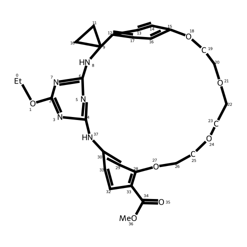 CCOc1nc2nc(n1)NC1(CC1)c1ccc(cc1)OCCOCCOCCOc1cc(ccc1C(=O)OC)N2